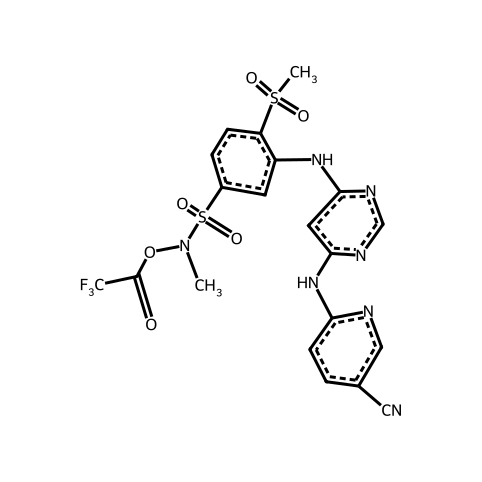 CN(OC(=O)C(F)(F)F)S(=O)(=O)c1ccc(S(C)(=O)=O)c(Nc2cc(Nc3ccc(C#N)cn3)ncn2)c1